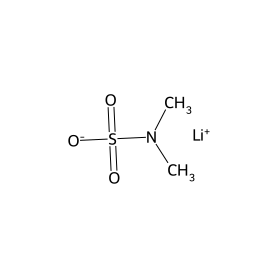 CN(C)S(=O)(=O)[O-].[Li+]